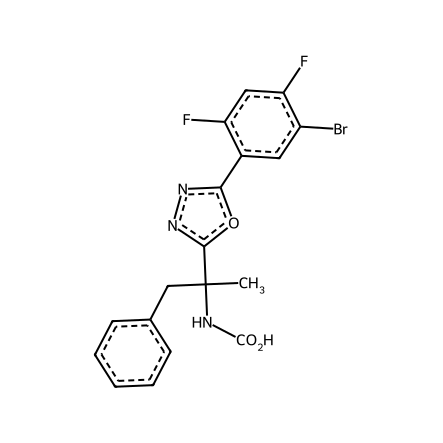 CC(Cc1ccccc1)(NC(=O)O)c1nnc(-c2cc(Br)c(F)cc2F)o1